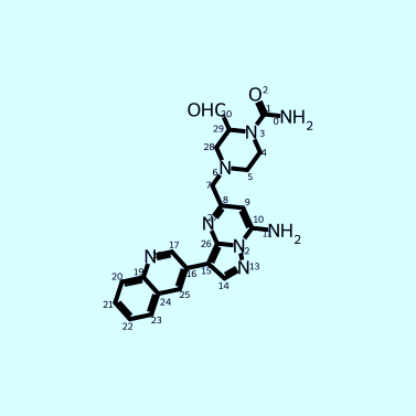 NC(=O)N1CCN(Cc2cc(N)n3ncc(-c4cnc5ccccc5c4)c3n2)CC1C=O